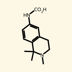 CN1CCc2cc(NC(=O)O)ccc2C1(C)C